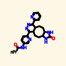 CCCC(=O)Nc1ccc(C2=NN=C(c3ccccn3)C3CCC4NC(=O)NC4CCC23)nc1